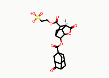 O=C1C2CC3CC1CC(C(=O)OC1C4CC5C1OC(=O)[C@@H]5C4C(=O)OCCS(=O)(=O)O)(C3)C2